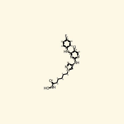 O=C(CCCCCn1cc(Nc2ncc(Cl)c(Nc3ccc(F)cc3)n2)cn1)NO